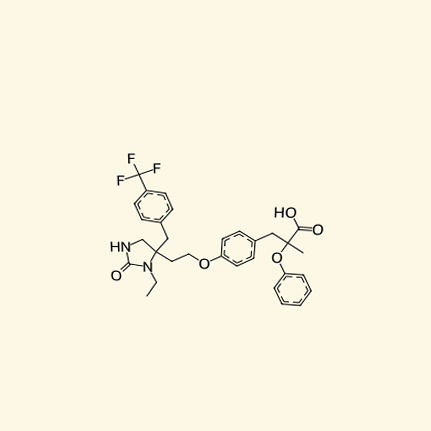 CCN1C(=O)NCC1(CCOc1ccc(CC(C)(Oc2ccccc2)C(=O)O)cc1)Cc1ccc(C(F)(F)F)cc1